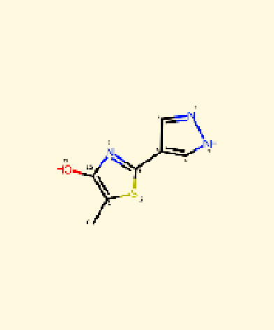 Cc1sc(-c2cn[nH]c2)nc1O